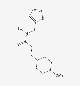 CCN(Cc1cccs1)C(=O)CCC1CCC(OC)CC1